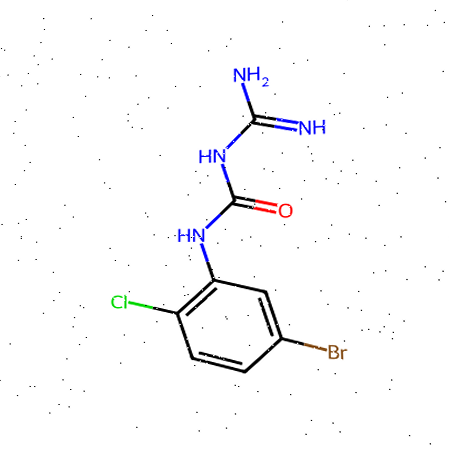 N=C(N)NC(=O)Nc1cc(Br)ccc1Cl